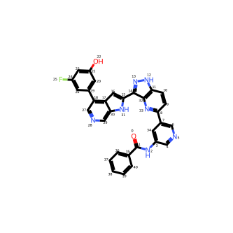 O=C(Nc1cncc(-c2ccc3[nH]nc(-c4cc5c(-c6cc(O)cc(F)c6)cncc5[nH]4)c3n2)c1)c1ccccc1